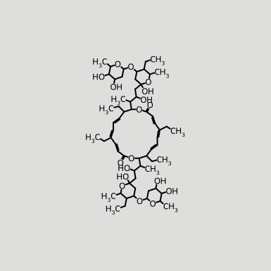 CCC1=C\C=C\C(CC)C(C(C)C(O)CC2(O)CC(OC3CC(O)C(O)C(C)O3)C(CC)C(C)O2)OC(=O)/C=C/C(CC)=C/C=C/C(CC)C(C(C)C(O)CC2(O)CC(OC3CC(O)C(O)C(C)O3)C(CC)C(C)O2)OC(=O)\C=C\1